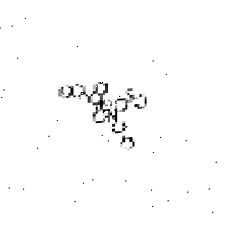 c1ccc(-c2ccc(N(c3ccc4sc5ccccc5c4c3)c3cccc4c3oc3c5ccccc5c(-c5ccc6ccccc6c5)cc43)cc2)cc1